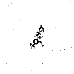 C=C=Cc1cc(C(F)(F)F)ccc1NC(=O)C(C)(C)n1cc(C)cn1